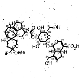 COC1(C(C)C)CCC2(CO1)[C@H]1CCC3=C4[C@H](CC3)[C@H](C(=O)O[C@@H]3[C@@H](O)[C@H](O[C@@H]5OC=C(C(=O)O)[C@H]6CC=C(CO)[C@@H]56)O[C@H](CO)[C@H]3O)C[C@]42CN(C)C1